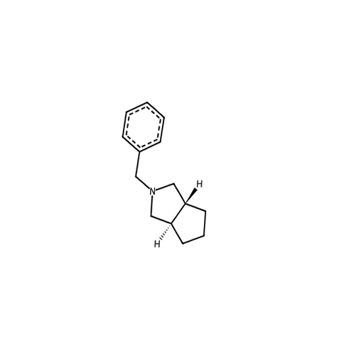 c1ccc(CN2C[C@@H]3CCC[C@H]3C2)cc1